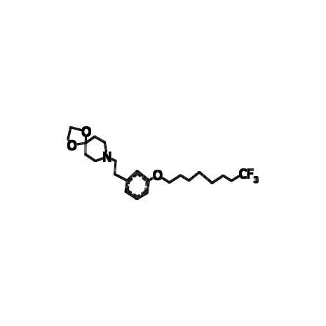 FC(F)(F)CCCCCCCOc1cccc(CCN2CCC3(CC2)OCCO3)c1